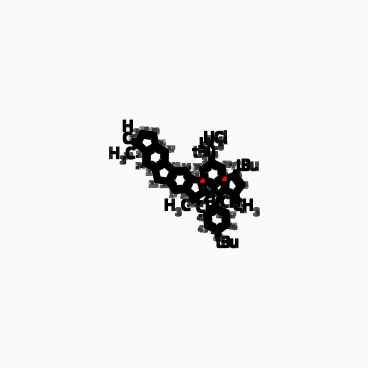 Cl.Cl.[CH2]=[Zr]([C]1=CC(C(C)(C)C)=CC1C)([C]1=Cc2cc3c(cc2C1(C)C)Cc1cc2c(cc1-3)C=CC2(C)C)([c]1ccc(C(C)(C)C)cc1)[c]1ccc(C(C)(C)C)cc1